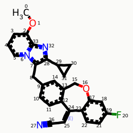 COc1cccn2c(Cc3ccc4c(c3)COc3cc(F)ccc3/C4=C/C#N)c(C3CC3)nc12